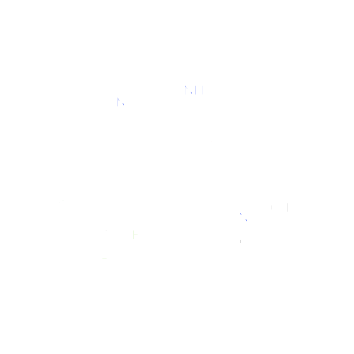 CN(C)c1ccc2c(c1)OC(N)=C(C#N)C2c1ccc(Cl)c(C(F)(F)F)c1